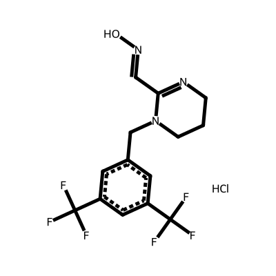 Cl.ON=CC1=NCCCN1Cc1cc(C(F)(F)F)cc(C(F)(F)F)c1